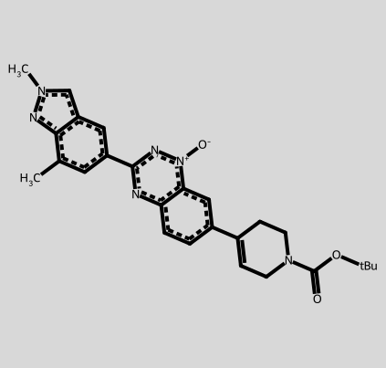 Cc1cc(-c2nc3ccc(C4=CCN(C(=O)OC(C)(C)C)CC4)cc3[n+]([O-])n2)cc2cn(C)nc12